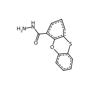 NNC(=O)c1cccc2c1Oc1ccccc1S2